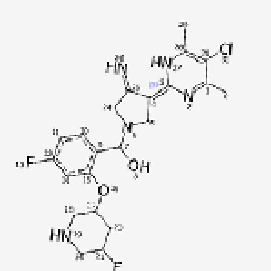 CC1=N/C(=C2\CN(C(O)c3ccc(F)cc3OC3CNCC(F)C3)CC2=N)NC(C)=C1Cl